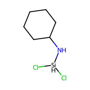 Cl[SiH](Cl)NC1CCCCC1